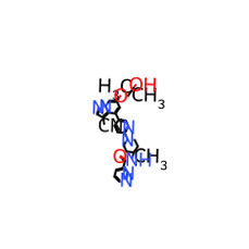 CC(C)(O)COc1cc(-c2ccc(N3CCC(C)(NC(=O)c4cccnn4)CC3)nc2)c2c(C#N)cnn2c1